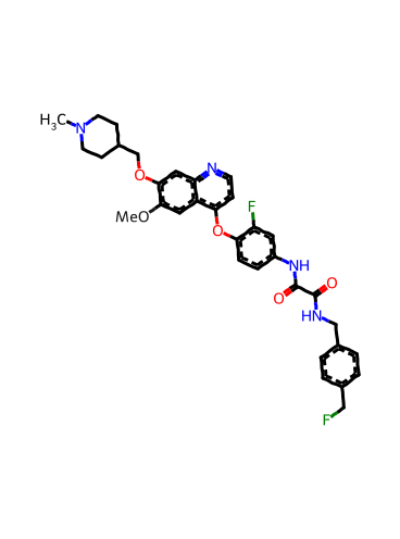 COc1cc2c(Oc3ccc(NC(=O)C(=O)NCc4ccc(CF)cc4)cc3F)ccnc2cc1OCC1CCN(C)CC1